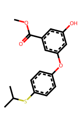 COC(=O)c1cc(O)cc(Oc2ccc(SC(C)C)cc2)c1